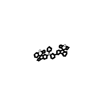 c1ccc(N(c2cccc(-c3ccc4c(c3)-c3ccccc3C43c4ccccc4Oc4ccccc43)c2)c2ccc3c(c2)C2(c4ccccc4Oc4ccccc42)c2ccccc2-3)cc1